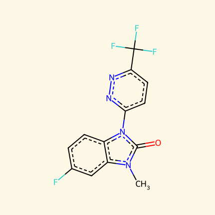 Cn1c(=O)n(-c2ccc(C(F)(F)F)nn2)c2ccc(F)cc21